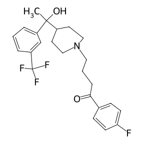 CC(O)(c1cccc(C(F)(F)F)c1)C1CCN(CCCC(=O)c2ccc(F)cc2)CC1